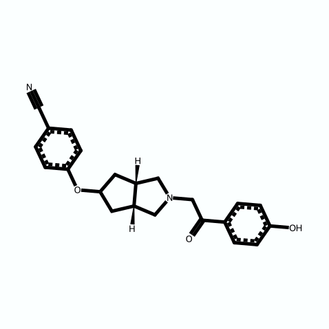 N#Cc1ccc(OC2C[C@@H]3CN(CC(=O)c4ccc(O)cc4)C[C@@H]3C2)cc1